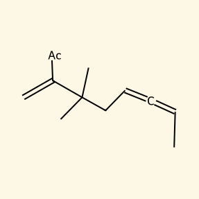 C=C(C(C)=O)C(C)(C)CC=C=CC